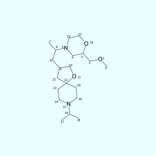 COCC1CN(C(C)CC2COC3(CCN(C(C)C)CC3)C2)CCO1